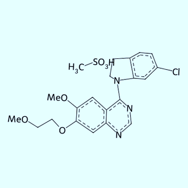 COCCOc1cc2ncnc(N3CCc4ccc(Cl)cc43)c2cc1OC.CS(=O)(=O)O